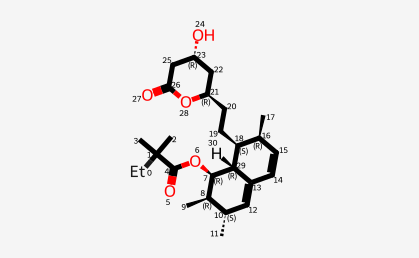 CCC(C)(C)C(=O)O[C@@H]1[C@H](C)[C@@H](C)C=C2C=C[C@H](C)[C@H](CC[C@@H]3C[C@@H](O)CC(=O)O3)[C@H]21